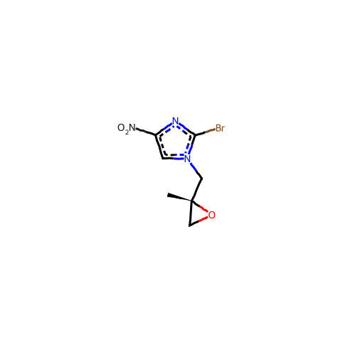 C[C@]1(Cn2cc([N+](=O)[O-])nc2Br)CO1